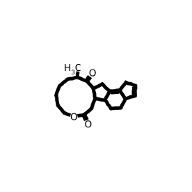 CC1CCCCCOC(=O)CC2C(CC3=C4CC=CC4CCC32)C1=O